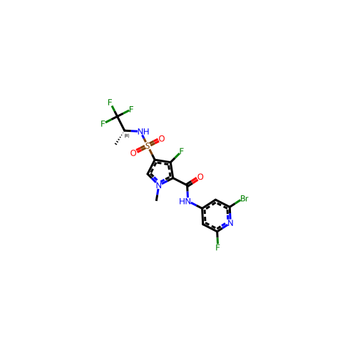 C[C@@H](NS(=O)(=O)c1cn(C)c(C(=O)Nc2cc(F)nc(Br)c2)c1F)C(F)(F)F